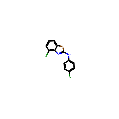 Clc1cccc2sc(Nc3ccc(Br)cc3)nc12